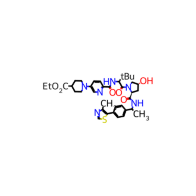 CCOC(=O)C1CCN(c2ccc(C(=O)NC(C(=O)N3C[C@H](O)C[C@H]3C(=O)NC(C)c3ccc(-c4scnc4C)cc3)C(C)(C)C)nc2)CC1